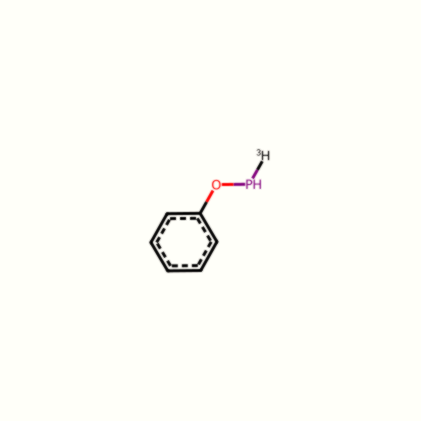 [3H]POc1ccccc1